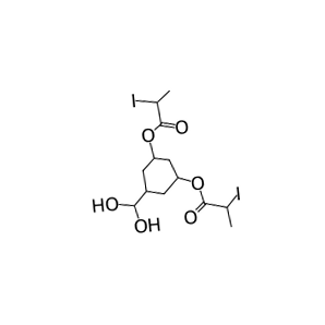 CC(I)C(=O)OC1CC(OC(=O)C(C)I)CC(C(O)O)C1